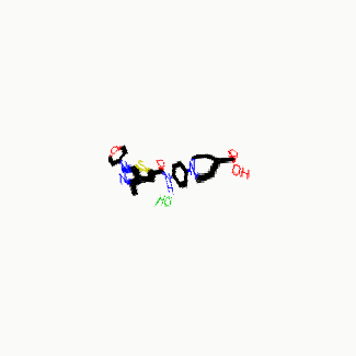 Cc1nn(C2CCOCC2)c2sc(C(=O)N[C@H]3CC[C@H](N4CCC(C(=O)O)CC4)CC3)cc12.Cl